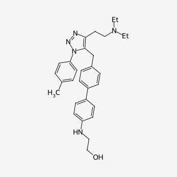 CCN(CC)CCc1nnn(-c2ccc(C)cc2)c1Cc1ccc(-c2ccc(NCCO)cc2)cc1